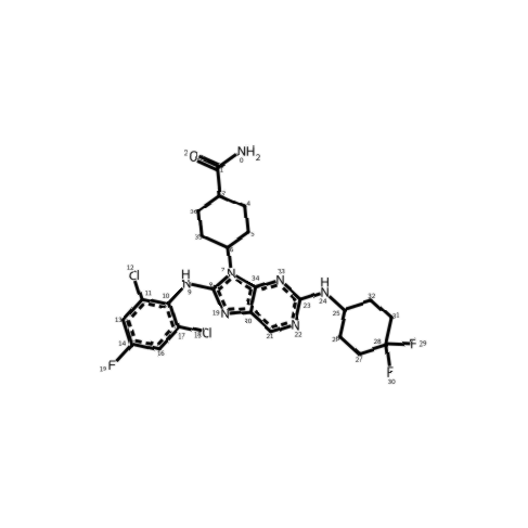 NC(=O)C1CCC(n2c(Nc3c(Cl)cc(F)cc3Cl)nc3cnc(NC4CCC(F)(F)CC4)nc32)CC1